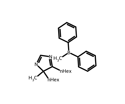 CB(c1ccccc1)c1ccccc1.CCCCCCC1=NC=NC1(C)CCCCCC